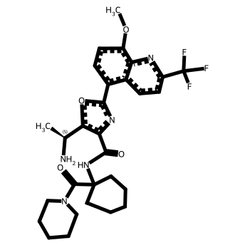 COc1ccc(-c2nc(C(=O)NC3(C(=O)N4CCCCC4)CCCCC3)c([C@H](C)N)o2)c2ccc(C(F)(F)F)nc12